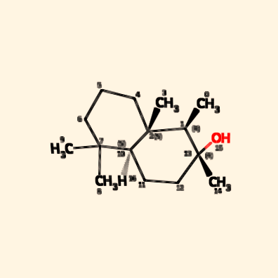 C[C@@H]1[C@@]2(C)CCCC(C)(C)[C@@H]2CC[C@@]1(C)O